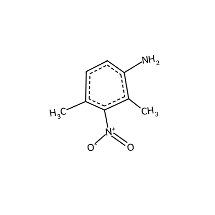 Cc1ccc(N)c(C)c1[N+](=O)[O-]